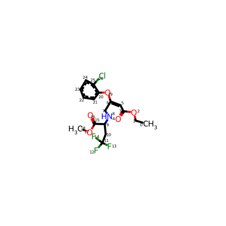 CCOC(=O)C=C(CNC(CC(F)(F)F)C(=O)OC)Oc1ccccc1Cl